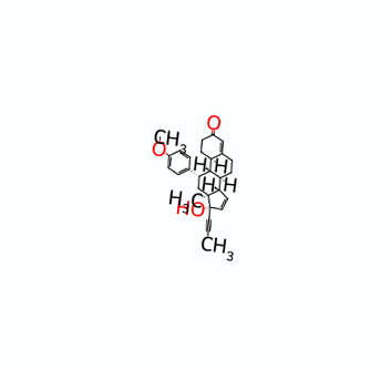 CC#C[C@]1(O)C=C[C@H]2[C@@H]3CCC4=CC(=O)CC[C@@H]4[C@H]3[C@@H](c3ccc(OC)cc3)C[C@@]21C